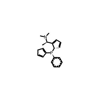 C[C@H](C1=CC=C[C@@H]1[P@](C1=CCC=C1)c1ccccc1)N(C)C